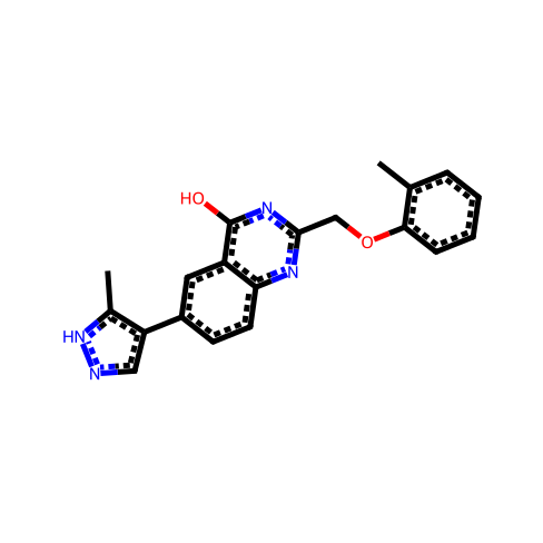 Cc1ccccc1OCc1nc(O)c2cc(-c3cn[nH]c3C)ccc2n1